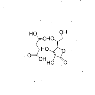 O=C(O)CCC(=O)O.O=C1O[C@H](C(O)CO)C(O)=C1O